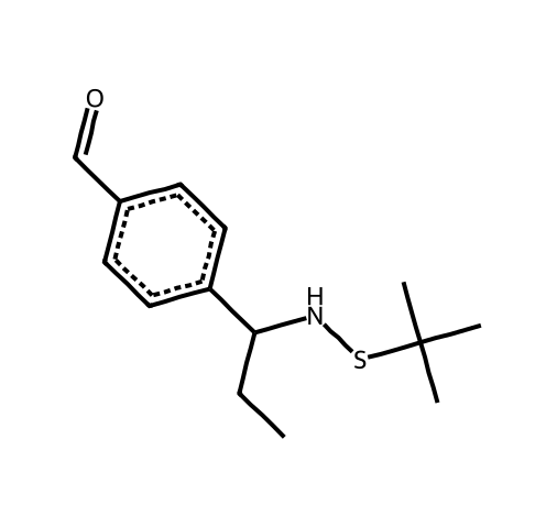 CCC(NSC(C)(C)C)c1ccc(C=O)cc1